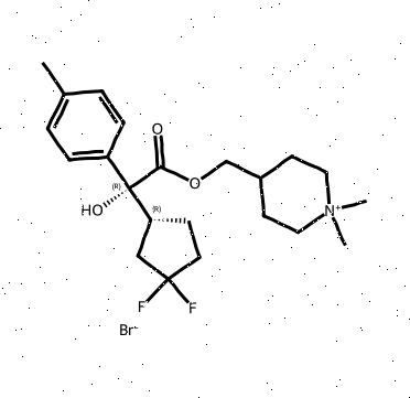 Cc1ccc([C@@](O)(C(=O)OCC2CC[N+](C)(C)CC2)[C@@H]2CCC(F)(F)C2)cc1.[Br-]